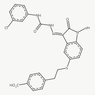 CCCN1C(=O)/C(=N\NC(=O)Nc2cccc(Cl)c2)c2cc(SCCc3ccc(C(=O)O)cc3)ccc21